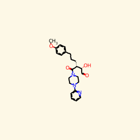 COc1ccc(CCC[C@@H](C(=O)N2CCN(c3ccccn3)CC2)[C@H](O)C=O)cc1